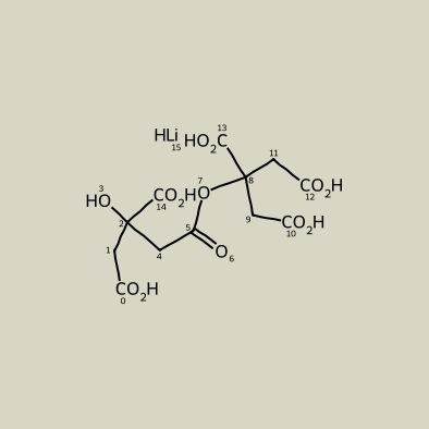 O=C(O)CC(O)(CC(=O)OC(CC(=O)O)(CC(=O)O)C(=O)O)C(=O)O.[LiH]